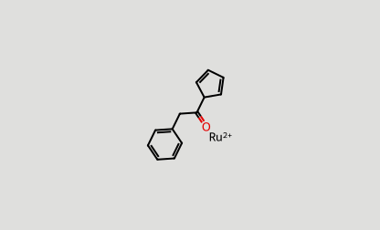 O=C(Cc1ccccc1)C1C=CC=C1.[Ru+2]